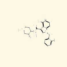 Cl.O=C(NC1CCNCC1F)c1cn(Cc2ccccc2F)c2cccc(F)c12